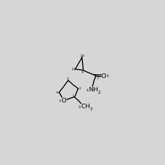 CC1CCCO1.NC(=O)C1CC1